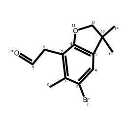 Cc1c(Br)cc2c(c1CC=O)OCC2(C)C